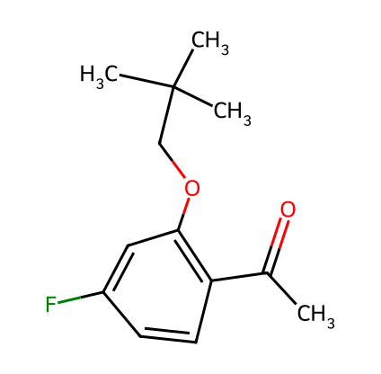 CC(=O)c1ccc(F)cc1OCC(C)(C)C